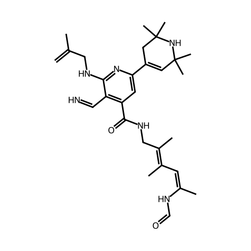 C=C(C)CNc1nc(C2=CC(C)(C)NC(C)(C)C2)cc(C(=O)NC/C(C)=C(C)/C=C(/C)NC=O)c1C=N